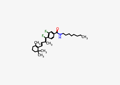 CCCCCCCCNC(=O)c1ccc(/C(F)=C(C)/C=C/C2=C(C)CCCC2(C)C)c(F)c1